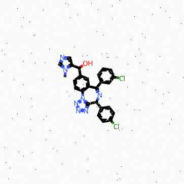 Cn1cncc1C(O)c1ccc2c(c1)C(c1cccc(Cl)c1)=NC(c1ccc(Cl)cc1)c1nnnn1-2